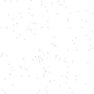 COC(=O)C(C)(C)C(c1ccc2c(c1)CNCC2)c1ccc(NCCCCCc2ccc(C(=O)O)cc2)c(NN)c1C